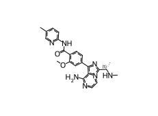 CN[C@@H](C)c1nc(-c2ccc(C(=O)Nc3ccc(C)cn3)c(OC)c2)c2c(N)nccn12